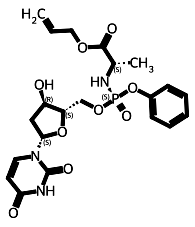 C=CCOC(=O)[C@H](C)N[P@](=O)(OC[C@@H]1O[C@H](n2ccc(=O)[nH]c2=O)C[C@H]1O)Oc1ccccc1